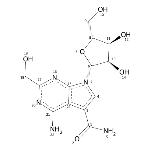 NC(=O)c1cn([C@@H]2O[C@H](CO)[C@@H](O)[C@H]2O)c2nc(CO)nc(N)c12